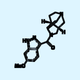 COc1ccc2c(C(=O)N3C[C@H]4CN5C=C3[C@@H]4CC5)n[nH]c2c1